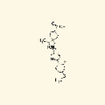 CSc1ccc(-c2ccc(NCC3(C(C)C)CCN(C(=O)O)CC3)cn2)c(F)c1